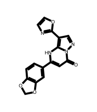 O=c1cc(-c2ccc3c(c2)OCO3)[nH]c2c(-c3ncco3)cnn12